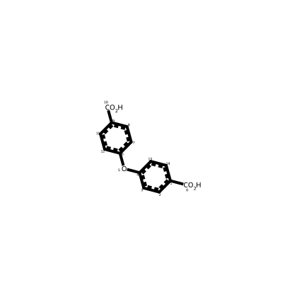 O=C(O)c1ccc(Oc2ccc(C(=O)O)cc2)cc1